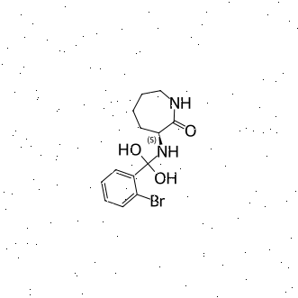 O=C1NCCCC[C@@H]1NC(O)(O)c1ccccc1Br